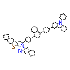 c1ccc(-n2c3ccccc3c3cc(-c4ccc(-c5ccc(-c6ccc(-c7cc8c9cc%10ccccc%10cc9sc8c8nc9cc%10ccccc%10cc9n78)cc6)c6ccccc56)cc4)ccc32)cc1